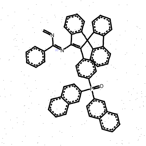 C=N/C(=N\C1=C(c2ccc(P(=O)(c3ccc4ccccc4c3)c3ccc4ccccc4c3)cc2)C2(c3ccccc31)c1ccccc1-c1ccccc12)c1ccccc1